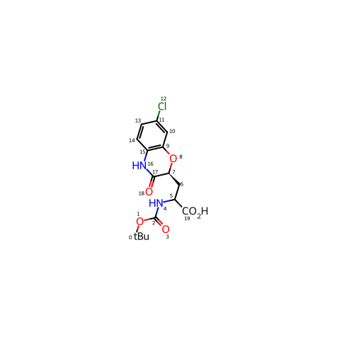 CC(C)(C)OC(=O)NC(C[C@@H]1Oc2cc(Cl)ccc2NC1=O)C(=O)O